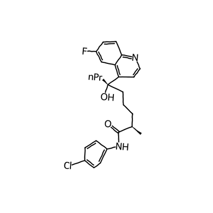 CCC[C@](O)(CCC[C@@H](C)C(=O)Nc1ccc(Cl)cc1)c1ccnc2ccc(F)cc12